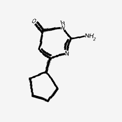 Nc1nc(C2CCCC2)cc(=O)[nH]1